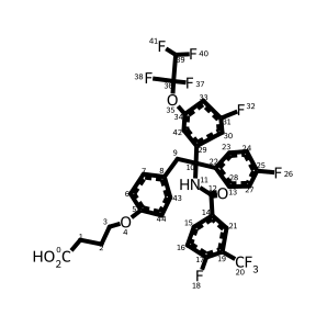 O=C(O)CCCOc1ccc(CC(NC(=O)c2ccc(F)c(C(F)(F)F)c2)(c2ccc(F)cc2)c2cc(F)cc(OC(F)(F)C(F)F)c2)cc1